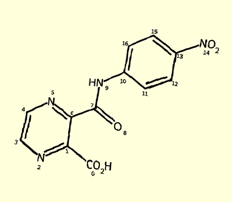 O=C(O)c1nccnc1C(=O)Nc1ccc([N+](=O)[O-])cc1